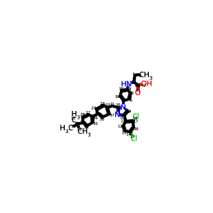 CCC(Nc1ccc(-n2cc(-c3ccc(Cl)cc3Cl)nc2Cc2ccc(-c3ccc(C(C)(C)C)cc3)cc2)cc1)C(=O)O